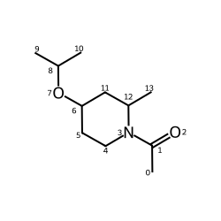 CC(=O)N1CCC(OC(C)C)CC1C